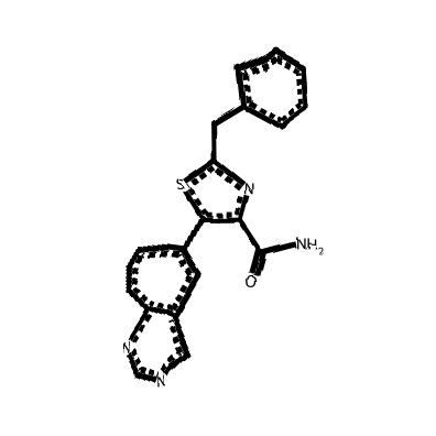 NC(=O)c1nc(Cc2ccccc2)sc1-c1ccc2ncncc2c1